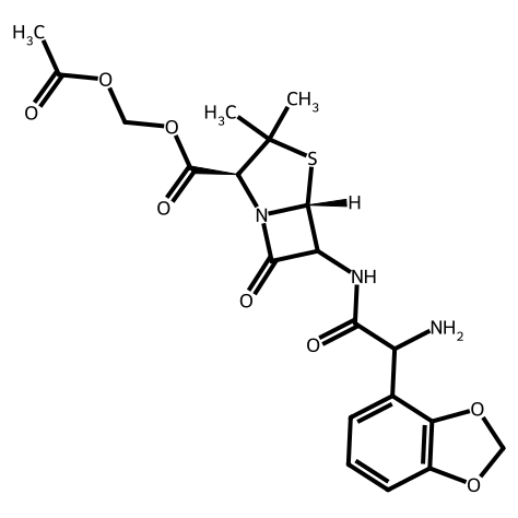 CC(=O)OCOC(=O)[C@@H]1N2C(=O)C(NC(=O)C(N)c3cccc4c3OCO4)[C@H]2SC1(C)C